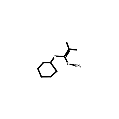 CC(C)=C(O[SiH3])OC1CCCCC1